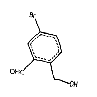 O=Cc1cc(Br)ccc1CO